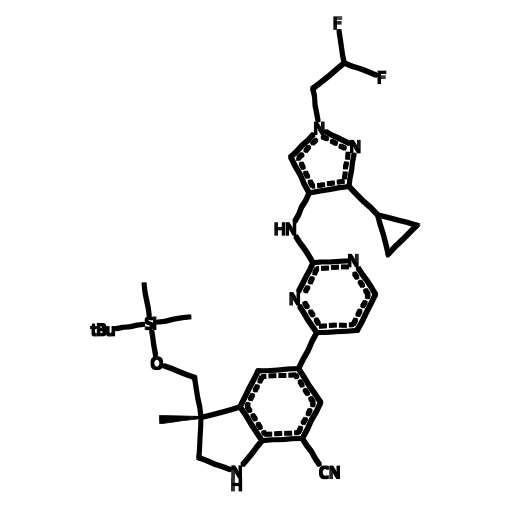 CC(C)(C)[Si](C)(C)OC[C@@]1(C)CNc2c(C#N)cc(-c3ccnc(Nc4cn(CC(F)F)nc4C4CC4)n3)cc21